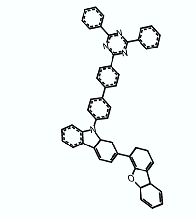 C1=CC2OC3=C(C4=CC=C5c6ccccc6N(c6ccc(-c7ccc(-c8nc(-c9ccccc9)nc(-c9ccccc9)n8)cc7)cc6)C5C4)CCC=C3C2C=C1